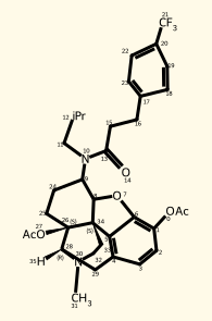 CC(=O)Oc1ccc2c3c1OC1C(N(CC(C)C)C(=O)CCc4ccc(C(F)(F)F)cc4)CC[C@@]4(OC(C)=O)[C@@H](C2)N(C)CC[C@]314